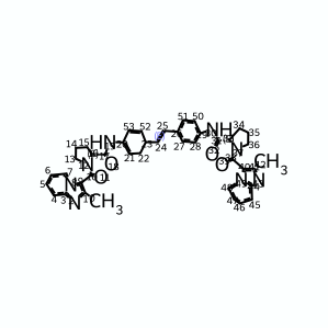 Cc1nc2ccccn2c1C(=O)N1CCC[C@H]1C(=O)NC1=CCC(/C=C/c2ccc(NC(=O)[C@@H]3CCCN3C(=O)c3c(C)nc4ccccn34)cc2)C=C1